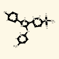 Cc1ccc(Sc2oc(-c3ccc(F)cc3)nc2-c2ccc(S(C)(=O)=O)nn2)nc1